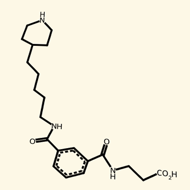 O=C(O)CCNC(=O)c1cccc(C(=O)NCCCCCC2CCNCC2)c1